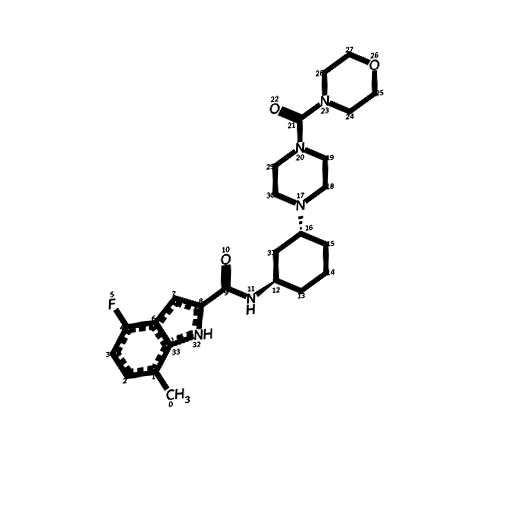 Cc1ccc(F)c2cc(C(=O)N[C@@H]3CCC[C@@H](N4CCN(C(=O)N5CCOCC5)CC4)C3)[nH]c12